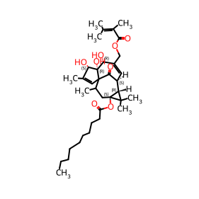 CCCCCCCCCC(=O)O[C@@]12CC(C)C34C=C(C)[C@H](O)[C@@]3(O)[C@H](O)C(COC(=O)C(C)=C(C)C)=C[C@H](C4=O)[C@@H]1C2(C)C